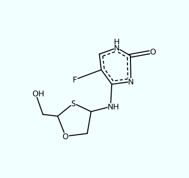 O=c1nc(NC2COC(CO)S2)c(F)c[nH]1